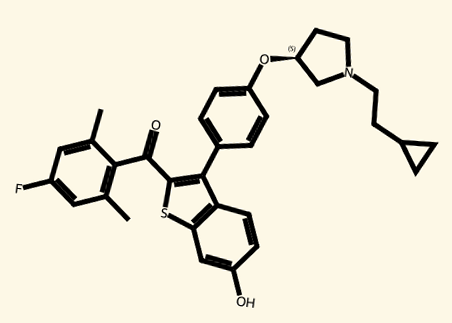 Cc1cc(F)cc(C)c1C(=O)c1sc2cc(O)ccc2c1-c1ccc(O[C@H]2CCN(CCC3CC3)C2)cc1